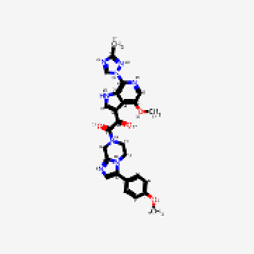 COc1ccc(-c2cnc3n2CCN(C(=O)C(=O)c2c[nH]c4c(-n5cnc(C)n5)ncc(OC)c24)C3)cc1